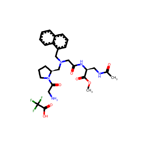 COC(=O)[C@H](CNC(C)=O)NC(=O)CN(Cc1cccc2ccccc12)C[C@@H]1CCCN1C(=O)CN.O=C(O)C(F)(F)F